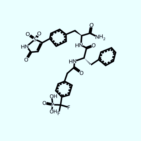 NC(=O)[C@H](Cc1ccc(C2=CC(=O)NS2(=O)=O)cc1)NC(=O)[C@H](Cc1ccccc1)NC(=O)Cc1ccc(C(F)(F)P(=O)(O)O)cc1